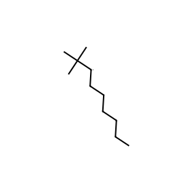 CCCCCC[CH]C(C)(C)C